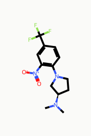 CN(C)[C@@H]1CCN(c2ccc(C(F)(F)F)cc2[N+](=O)[O-])C1